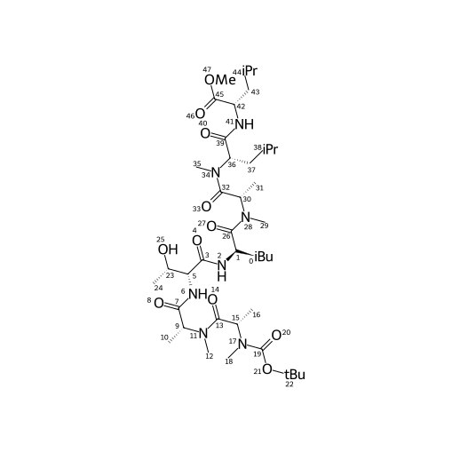 CC[C@H](C)[C@@H](NC(=O)[C@H](NC(=O)[C@@H](C)N(C)C(=O)[C@H](C)N(C)C(=O)OC(C)(C)C)[C@H](C)O)C(=O)N(C)[C@@H](C)C(=O)N(C)[C@@H](CC(C)C)C(=O)N[C@@H](CC(C)C)C(=O)OC